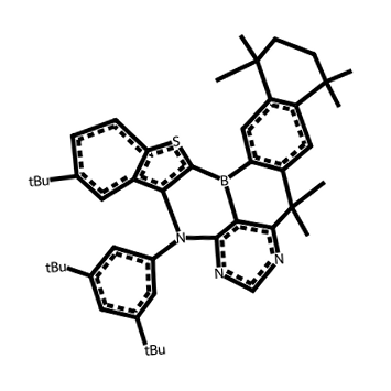 CC(C)(C)c1cc(N2c3ncnc4c3B(c3cc5c(cc3C4(C)C)C(C)(C)CCC5(C)C)c3sc4ccc(C(C)(C)C)cc4c32)cc(C(C)(C)C)c1